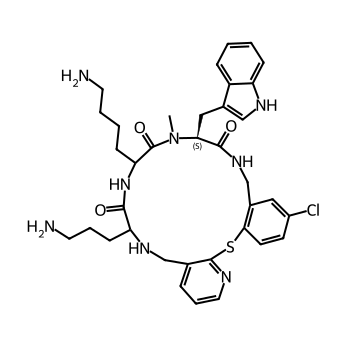 CN1C(=O)C(CCCCN)NC(=O)C(CCCN)NCc2cccnc2Sc2ccc(Cl)cc2CNC(=O)[C@@H]1Cc1c[nH]c2ccccc12